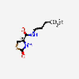 CCOC(=O)CC[CH]NC(=O)[C@@H]1CSC(=O)N1